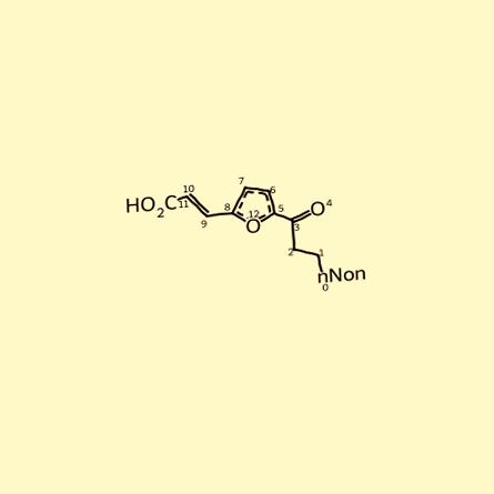 CCCCCCCCCCCC(=O)c1ccc(C=CC(=O)O)o1